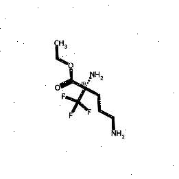 CCOC(=O)[C@@](N)(CCCN)C(F)(F)F